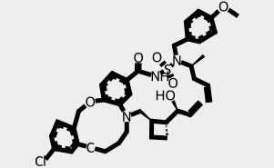 C=CC[C@H](C)N(Cc1ccc(OC)cc1)S(=O)(=O)NC(=O)c1ccc2c(c1)N(C[C@@H]1CC[C@H]1[C@@H](O)C=C)CCCCc1cc(Cl)ccc1CO2